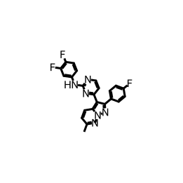 Cc1ccc2c(-c3ccnc(Nc4ccc(F)c(F)c4)n3)c(-c3ccc(F)cc3)nn2n1